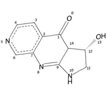 O=C1c2ccncc2N=C2NC[C@@H](O)C12